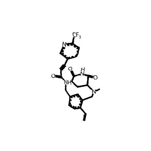 C=Cc1ccc(CNC(=O)C#Cc2ccc(C(F)(F)F)nc2)cc1CN(C)C1CCC(=O)NC1=O